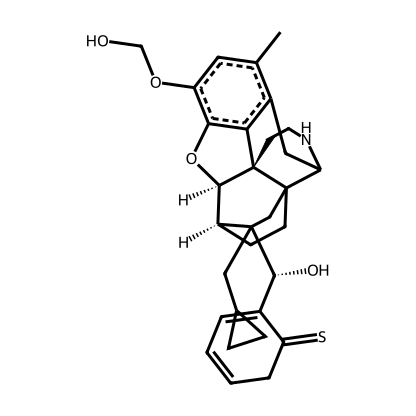 Cc1cc(OCO)c2c3c1CC1NCC[C@@]34[C@H](O2)[C@@H]2CCC14CC2(CC1CC1)[C@H](O)C1=CC=CCC1=S